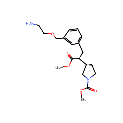 CC(C)(C)OC(=O)[C@@H](Cc1cccc(COCCN)c1)[C@H]1CCN(C(=O)OC(C)(C)C)C1